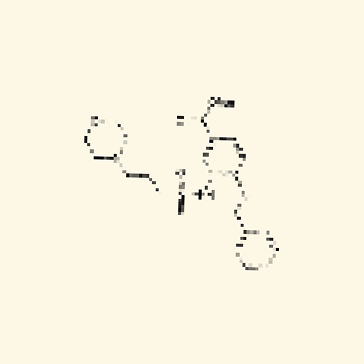 COC(=O)c1ccc(OCc2ccccc2)c(NS(=O)(=O)CCCN2CCOCC2)c1